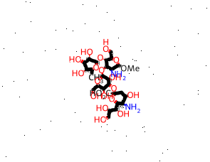 COC1OC(CO)[C@@H](O[C@@H]2OC(C)[C@@H](O)C(O)[C@@H]2O)[C@H](O[C@@H]2OC(CO)[C@H](O)C(O[C@]3(C(=O)O)C[C@@H](O)[C@@H](N)C([C@H](O)[C@H](O)CO)O3)[C@@H]2O)C1N